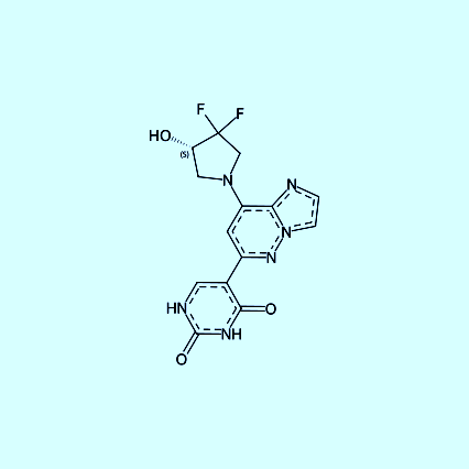 O=c1[nH]cc(-c2cc(N3C[C@H](O)C(F)(F)C3)c3nccn3n2)c(=O)[nH]1